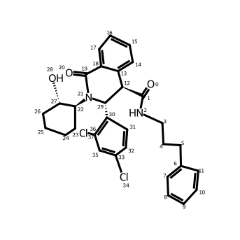 O=C(NCCCc1ccccc1)[C@@H]1c2ccccc2C(=O)N([C@H]2CCCC[C@@H]2O)[C@H]1c1ccc(Cl)cc1Cl